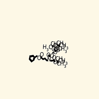 CC(C)(C)OC(=O)CN(CCCC(=O)OCc1ccccc1)C(=O)OCOP(=O)(OC(C)(C)C)OC(C)(C)C